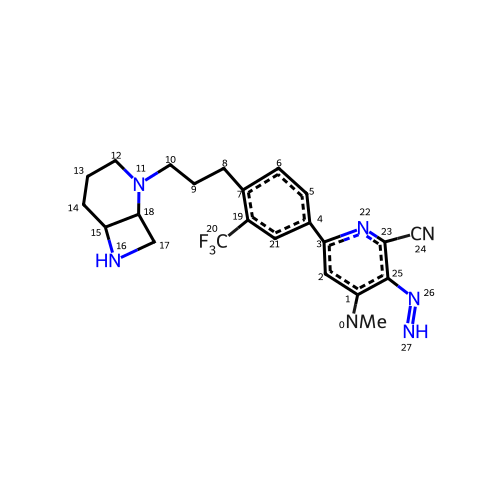 CNc1cc(-c2ccc(CCCN3CCCC4NCC43)c(C(F)(F)F)c2)nc(C#N)c1N=N